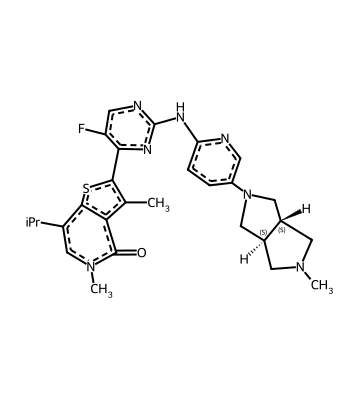 Cc1c(-c2nc(Nc3ccc(N4C[C@@H]5CN(C)C[C@H]5C4)cn3)ncc2F)sc2c(C(C)C)cn(C)c(=O)c12